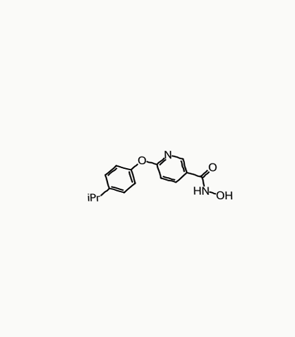 CC(C)c1ccc(Oc2ccc(C(=O)NO)cn2)cc1